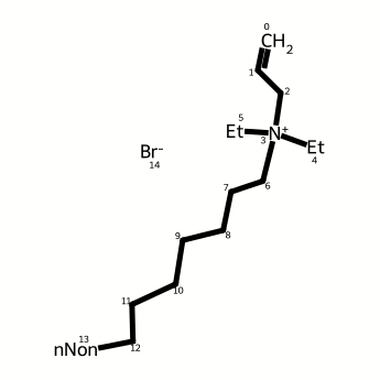 C=CC[N+](CC)(CC)CCCCCCCCCCCCCCCC.[Br-]